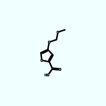 COCOc1coc(C(=O)O)c1